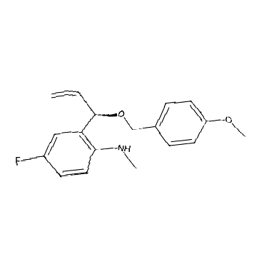 C=C[C@@H](OCc1ccc(OC)cc1)c1cc(F)ccc1NC